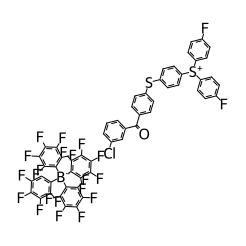 Fc1c(F)c(F)c([B-](c2c(F)c(F)c(F)c(F)c2F)(c2c(F)c(F)c(F)c(F)c2F)c2c(F)c(F)c(F)c(F)c2F)c(F)c1F.O=C(c1ccc(Sc2ccc([S+](c3ccc(F)cc3)c3ccc(F)cc3)cc2)cc1)c1cccc(Cl)c1